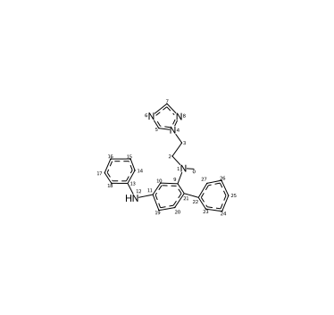 CN(CCn1cncn1)c1cc(Nc2ccccc2)ccc1-c1ccccc1